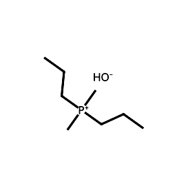 CCC[P+](C)(C)CCC.[OH-]